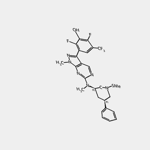 CSN1C[C@@H](c2ccccc2)C[C@@H](N(C)c2ncc3c(-c4cc(C(F)(F)F)c(F)c(O)c4F)nn(C)c3n2)C1